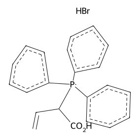 Br.C=CC(C(=O)O)[P](c1ccccc1)(c1ccccc1)c1ccccc1